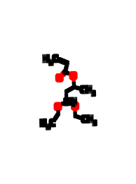 C=CC(=O)OC(C)C[SiH](OCC)OCC